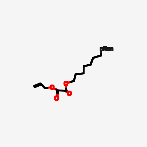 C=CCOC(=O)C(=O)OCCCCCCCCCCCCCCCC